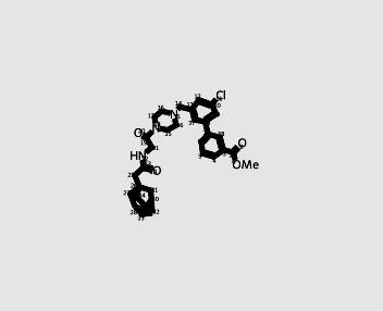 COC(=O)c1cccc(-c2cc(Cl)cc(CN3CCN(C(=O)CNC(=O)CC45CC6CC(C4)C(C6)C5)CC3)c2)c1